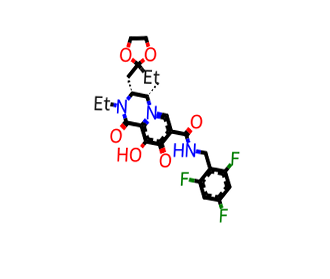 CCN1C(=O)c2c(O)c(=O)c(C(=O)NCc3c(F)cc(F)cc3F)cn2[C@@H](C)[C@H]1CC1(CC)OCCO1